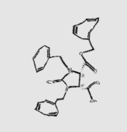 O=C(OCc1ccccc1)[C@@H]1[C@H](C(=O)O)N(Cc2ccccc2)C(=O)N1Cc1ccccc1